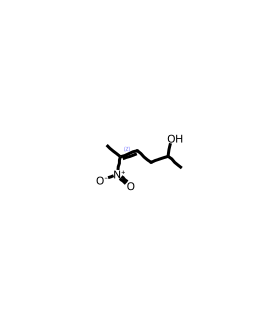 C/C(=C/CC(C)O)[N+](=O)[O-]